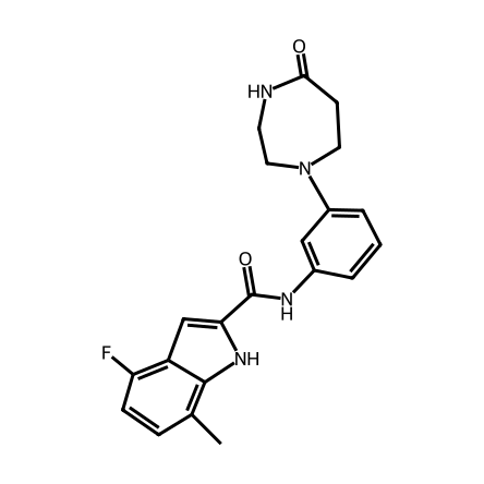 Cc1ccc(F)c2cc(C(=O)Nc3cccc(N4CCNC(=O)CC4)c3)[nH]c12